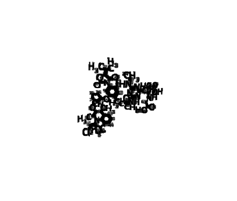 CC(C)=C1OC(=O)N(c2cc(OC3CCCC3)c(Cl)cc2F)C1=O.CCNc1nc(Cl)nc(NC(C)(C)C)n1.CCc1cccc(C)c1N(C(=O)CCl)C(C)COC.O=C(O)CNCP(=O)(O)O